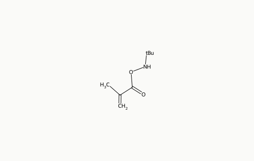 C=C(C)C(=O)ONC(C)(C)C